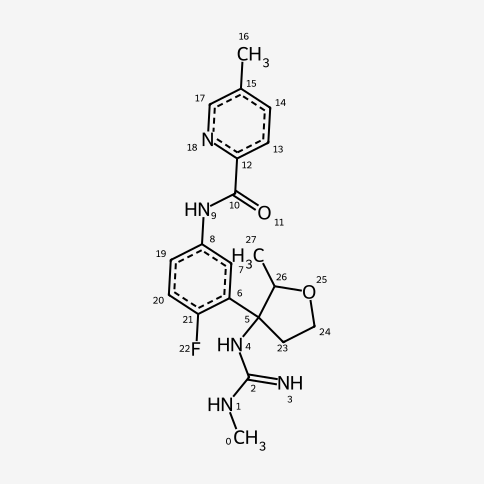 CNC(=N)NC1(c2cc(NC(=O)c3ccc(C)cn3)ccc2F)CCOC1C